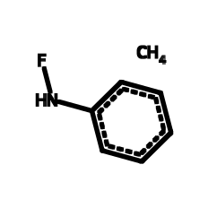 C.FNc1ccccc1